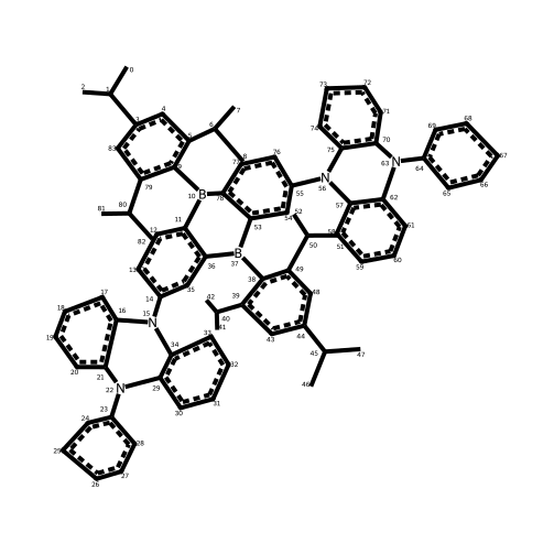 CC(C)c1cc(C(C)C)c(B2c3ccc(N4c5ccccc5N(c5ccccc5)c5ccccc54)cc3B(c3c(C(C)C)cc(C(C)C)cc3C(C)C)c3cc(N4c5ccccc5N(c5ccccc5)c5ccccc54)ccc32)c(C(C)C)c1